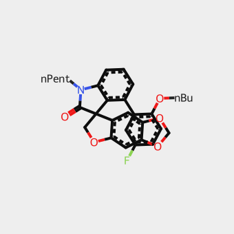 CCCCCN1C(=O)C2(COc3cc4c(cc32)OCO4)c2c(-c3cc(F)ccc3OCCCC)cccc21